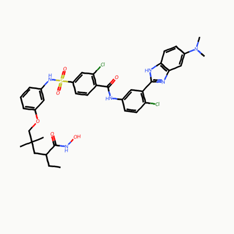 CCC(CC(C)(C)COc1cccc(NS(=O)(=O)c2ccc(C(=O)Nc3ccc(Cl)c(-c4nc5cc(N(C)C)ccc5[nH]4)c3)c(Cl)c2)c1)C(=O)NO